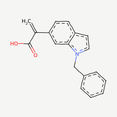 C=C(C(=O)O)c1ccc2ccn(Cc3ccccc3)c2c1